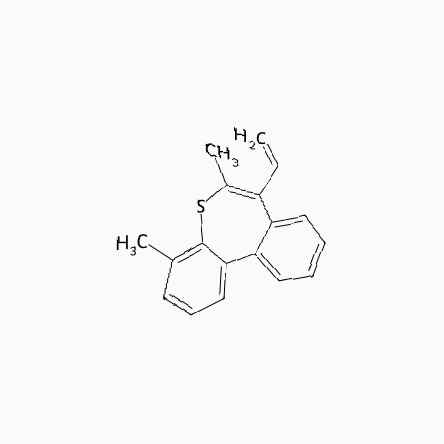 C=CC1=C(C)Sc2c(C)cccc2-c2ccccc21